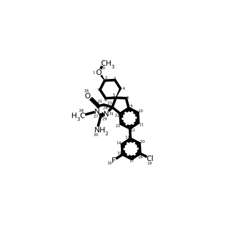 CO[C@H]1CC[C@@]2(CC1)Cc1ccc(-c3cc(F)cc(Cl)c3)cc1C21CC(=O)N(C)C(N)=N1